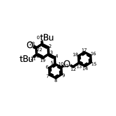 CC(C)(C)C1=CC(=Cc2ccccc2OCc2ccccc2)C=C(C(C)(C)C)C1=O